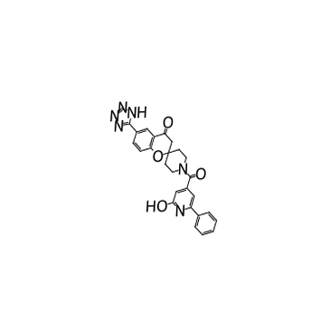 O=C1CC2(CCN(C(=O)c3cc(O)nc(-c4ccccc4)c3)CC2)Oc2ccc(-c3nnn[nH]3)cc21